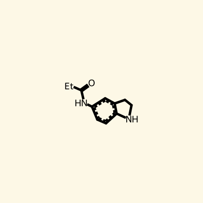 CCC(=O)Nc1ccc2c(c1)CCN2